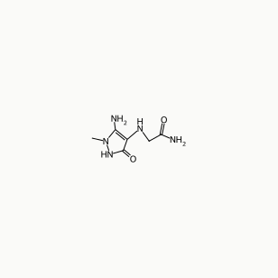 Cn1[nH]c(=O)c(NCC(N)=O)c1N